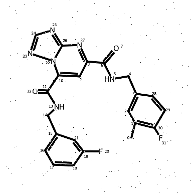 Cc1cc(CNC(=O)c2cc(C(=O)NCc3cccc(F)c3)n3ncnc3n2)ccc1F